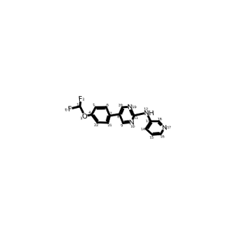 FC(F)Oc1ccc(-c2cnc(Nc3c[c]cnc3)nc2)cc1